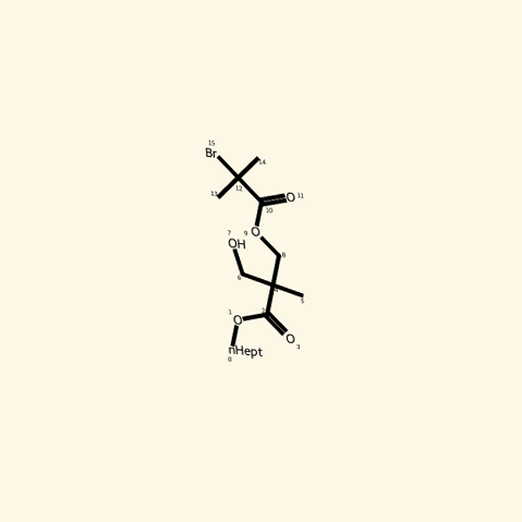 CCCCCCCOC(=O)C(C)(CO)COC(=O)C(C)(C)Br